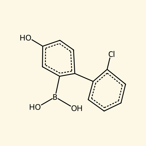 OB(O)c1cc(O)ccc1-c1ccccc1Cl